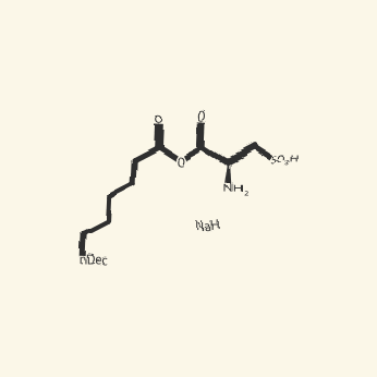 CCCCCCCCCCCCCCCC(=O)OC(=O)[C@H](N)CS(=O)(=O)O.[NaH]